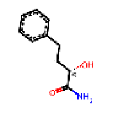 NC(=O)[C@@H](O)[CH]Cc1ccccc1